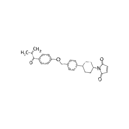 C=C(C)C(=O)c1ccc(OCc2ccc(C3CCC(N4C(=O)C=CC4=O)CC3)cc2)cc1